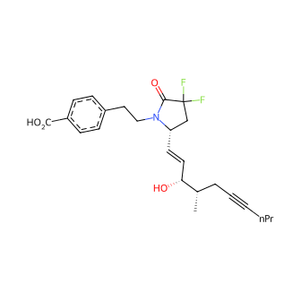 CCCC#CC[C@H](C)[C@H](O)/C=C/[C@H]1CC(F)(F)C(=O)N1CCc1ccc(C(=O)O)cc1